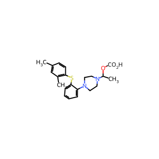 Cc1ccc(Sc2ccccc2N2CCN(C(C)OC(=O)O)CC2)c(C)c1